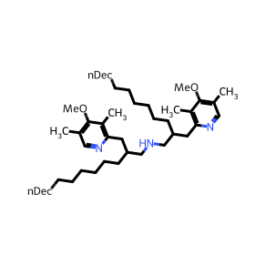 CCCCCCCCCCCCCCCCC(CNCC(CCCCCCCCCCCCCCCC)Cc1ncc(C)c(OC)c1C)Cc1ncc(C)c(OC)c1C